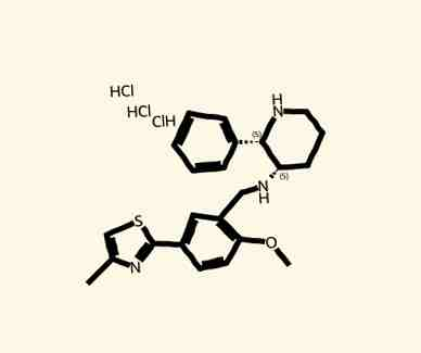 COc1ccc(-c2nc(C)cs2)cc1CN[C@H]1CCCN[C@H]1c1ccccc1.Cl.Cl.Cl